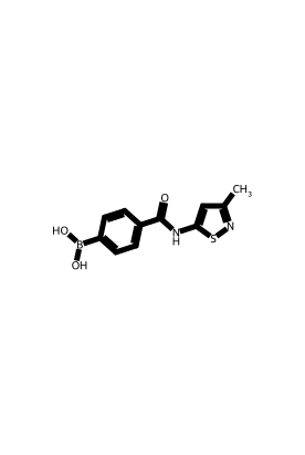 Cc1cc(NC(=O)c2ccc(B(O)O)cc2)sn1